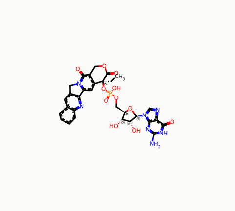 CC[C@@]1(OP(=O)(O)OC[C@H]2O[C@@H](n3cnc4c(=O)[nH]c(N)nc43)[C@H](O)[C@@H]2O)C(=O)OCc2c1cc1n(c2=O)Cc2cc3ccccc3nc2-1